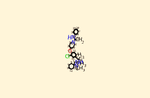 C=C(NCC1(N(C)C)CCCCC1)c1ccc(OC2CCN(C(=C)Nc3ccccc3)CC2)c(Cl)c1